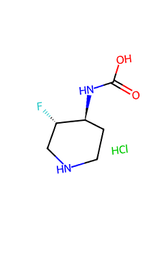 Cl.O=C(O)N[C@H]1CCNC[C@@H]1F